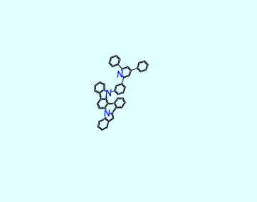 c1ccc(-c2cc(-c3ccccc3)nc(-c3cccc(-n4c5ccccc5c5ccc6c(c7ccccc7c7cc8ccccc8n76)c54)c3)c2)cc1